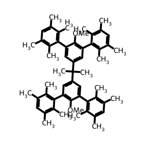 COc1c(-c2c(C)c(C)cc(C)c2C)cc(C(C)(C)c2cc(-c3c(C)c(C)cc(C)c3C)c(OC)c(-c3c(C)c(C)cc(C)c3C)c2)cc1-c1c(C)c(C)cc(C)c1C